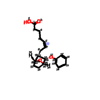 O=C(O)CCC/C=C\C[C@@H]1[C@H](Oc2ccccc2)[C@@H]2CC[C@H]1O2